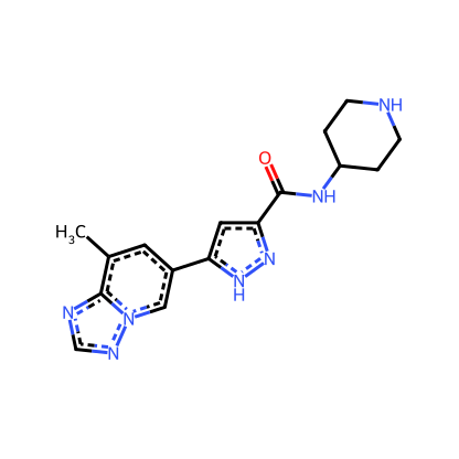 Cc1cc(-c2cc(C(=O)NC3CCNCC3)n[nH]2)cn2ncnc12